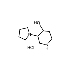 Cl.OC1CCNCC1N1CCCC1